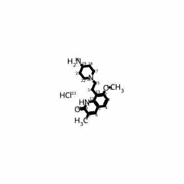 COc1ccc2cc(C)c(=O)[nH]c2c1CCN1CCC(N)CC1.Cl